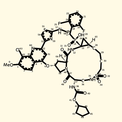 COc1ccc2c(O[C@@H]3C[C@H]4C(=O)N[C@]5(P(=O)(O)Cc6c(F)cccc6F)C[C@H]5CCCCS(=O)(=O)NC[C@H](NC(=O)OC5CCCC5)C(=O)N4C3)cc(-c3csc(NC(C)C)n3)nc2c1Cl